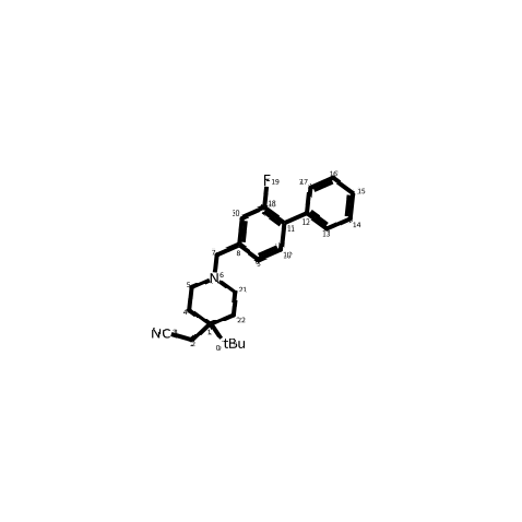 CC(C)(C)C1(CC#N)CCN(Cc2ccc(-c3ccccc3)c(F)c2)CC1